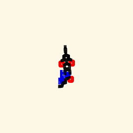 C=Cc1cc(C(=O)N2CCC3(CC2)CC(=O)C(c2c(C)cc(C#CC)cc2C)C(=O)C3)[nH]n1